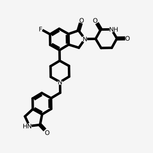 O=C1CCC(N2Cc3c(cc(F)cc3C3CCN(Cc4ccc5c(c4)C(=O)NC5)CC3)C2=O)C(=O)N1